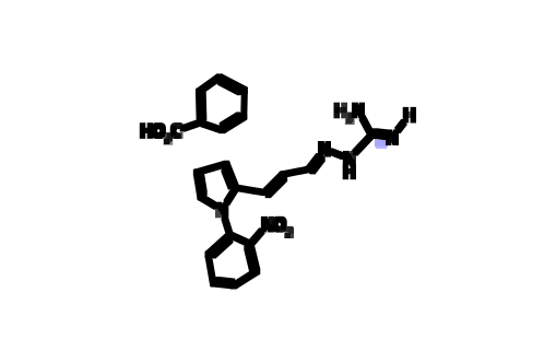 O=C(O)c1ccccc1.[H]/N=C(\N)NN=CC=Cc1cccn1-c1ccccc1[N+](=O)[O-]